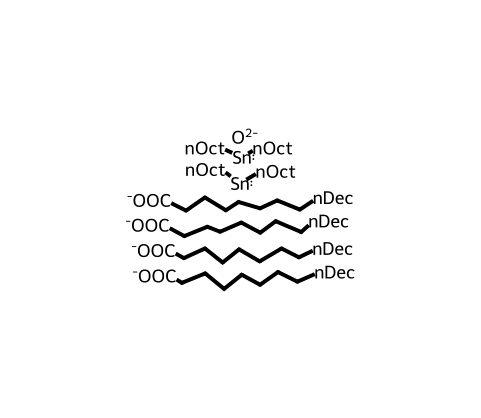 CCCCCCCCCCCCCCCCCC(=O)[O-].CCCCCCCCCCCCCCCCCC(=O)[O-].CCCCCCCCCCCCCCCCCC(=O)[O-].CCCCCCCCCCCCCCCCCC(=O)[O-].CCCCCCC[CH2][Sn][CH2]CCCCCCC.CCCCCCC[CH2][Sn][CH2]CCCCCCC.[O-2]